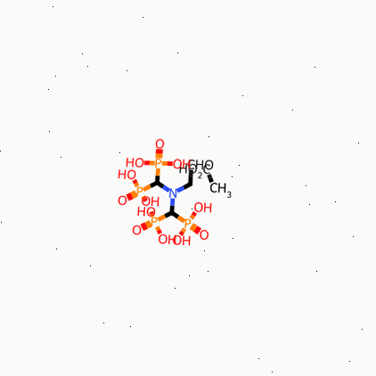 CC(=O)O.O=CCN(C(P(=O)(O)O)P(=O)(O)O)C(P(=O)(O)O)P(=O)(O)O